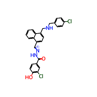 O=C(N/N=C/c1ccc(CNCc2ccc(Cl)cc2)c2ccccc12)c1ccc(O)c(Cl)c1